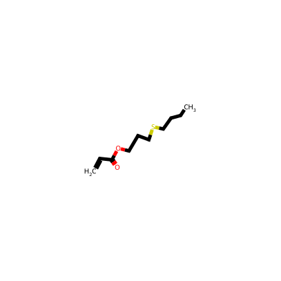 C=CC(=O)OCCCSCCCC